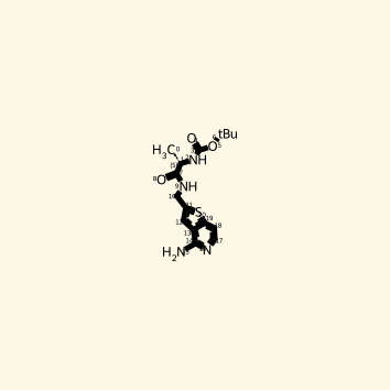 C[C@H](NC(=O)OC(C)(C)C)C(=O)NCc1cc2c(N)nccc2s1